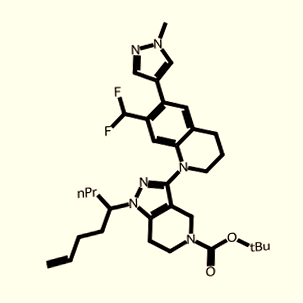 C=CCCC(CCC)n1nc(N2CCCc3cc(-c4cnn(C)c4)c(C(F)F)cc32)c2c1CCN(C(=O)OC(C)(C)C)C2